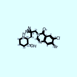 O=c1c2cc(Cl)c(Br)cc2ncn1CC1(C[C@@H]2NCCC[C@H]2O)N=N1